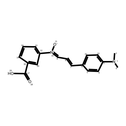 CN(C)c1ccc(C=CC=[N+]([O-])c2cccc(C(=O)O)c2)cc1